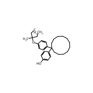 CCC(C)(CC)Oc1ccc(C2(c3ccc(O)cc3)CCCCCCCCCCC2)cc1